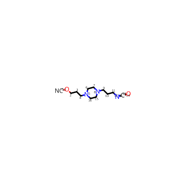 N#COCCCN1CCN(CCCN=C=O)CC1